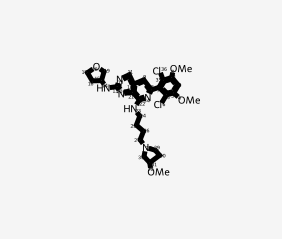 COc1cc(OC)c(Cl)c(-c2cc3cnc(NC4CCOC4)nc3c(NCCCCN3CCC(OC)C3)n2)c1Cl